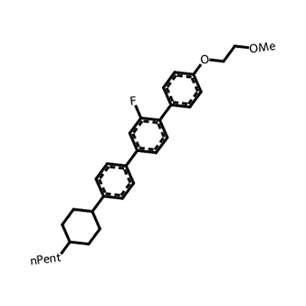 CCCCCC1CCC(c2ccc(-c3ccc(-c4ccc(OCCOC)cc4)c(F)c3)cc2)CC1